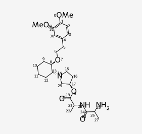 COc1ccc(CCO[C@@H]2CCCC[C@H]2N2CC[C@@H](OC(=O)C(C)NC(=O)C(C)N)C2)cc1OC